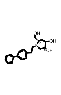 OC[C@H]1CC(O)[C@@H](O)CN1CCc1ccc(-c2ccccc2)cc1